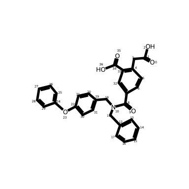 O=C(O)Cc1ccc(C(=O)N(Cc2ccccc2)Cc2ccc(Oc3ccccc3)cc2)cc1C(=O)O